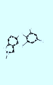 Cn1cc2cc(Oc3c(Cl)cc(N)cc3Cl)ccc2n1